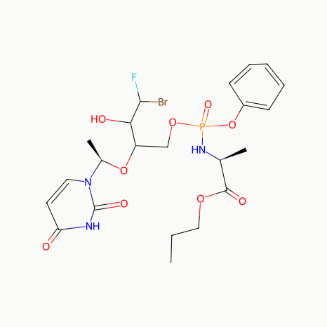 CCCOC(=O)[C@H](C)NP(=O)(OCC(O[C@H](C)n1ccc(=O)[nH]c1=O)C(O)C(F)Br)Oc1ccccc1